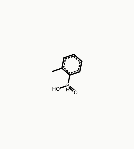 Cc1ccccc1[PH](=O)O